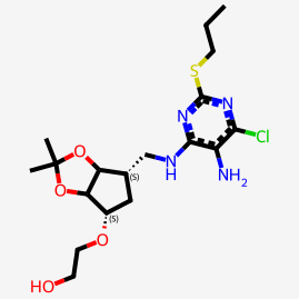 CCCSc1nc(Cl)c(N)c(NC[C@@H]2C[C@H](OCCO)C3OC(C)(C)OC32)n1